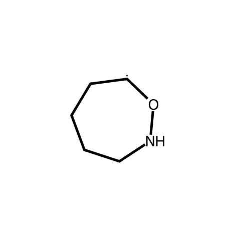 [CH]1CCCCNO1